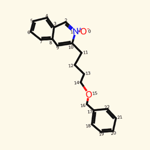 [O-][n+]1cc2ccccc2cc1CCCCOCc1ccccc1